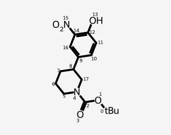 CC(C)(C)OC(=O)N1CCCC(c2ccc(O)c([N+](=O)[O-])c2)C1